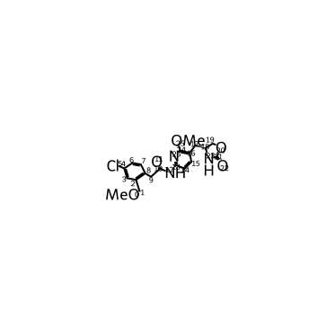 COCc1cc(Cl)ccc1CC(=O)Nc1ccc(C[C@H]2COC(=O)N2)c(OC)n1